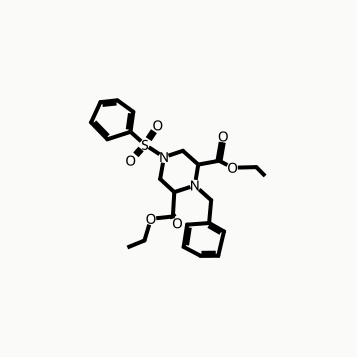 CCOC(=O)C1CN(S(=O)(=O)c2ccccc2)CC(C(=O)OCC)N1Cc1ccccc1